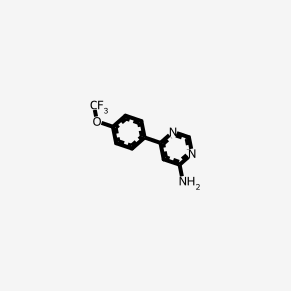 Nc1cc(-c2ccc(OC(F)(F)F)cc2)ncn1